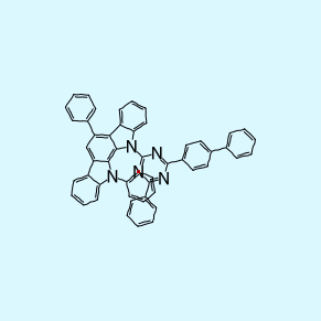 c1ccc(-c2ccc(-c3nc(-c4ccccc4)nc(-n4c5ccccc5c5c(-c6ccccc6)cc6c7ccccc7n(-c7ccccc7)c6c54)n3)cc2)cc1